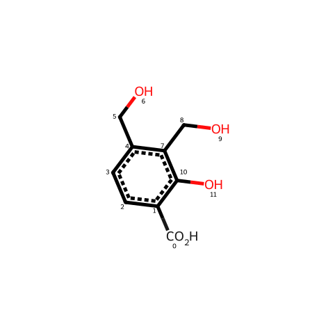 O=C(O)c1ccc(CO)c(CO)c1O